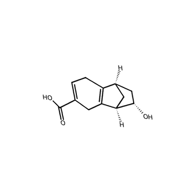 O=C(O)C1=CCC2=C(C1)[C@H]1C[C@@H]2C[C@@H]1O